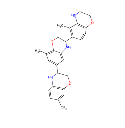 Cc1ccc2c(c1)OCC(c1cc(C)c3c(c1)NC(c1ccc4c(c1C)NCCO4)CO3)N2